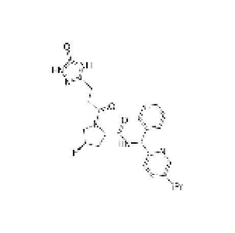 CC(C)c1ccc([C@@H](NC(=O)[C@@H]2C[C@@H](F)CN2C(=O)CCc2n[nH]c(=O)[nH]2)c2ccccc2)nc1